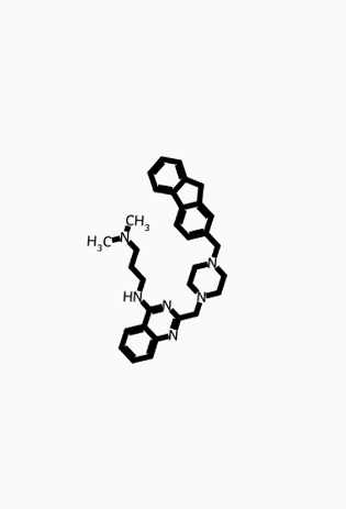 CN(C)CCCNc1nc(CN2CCN(Cc3ccc4c(c3)Cc3ccccc3-4)CC2)nc2ccccc12